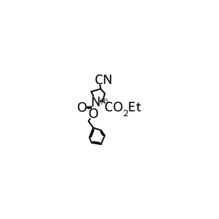 CCOC(=O)[C@H]1CC(C#N)CN1C(=O)OCc1ccccc1